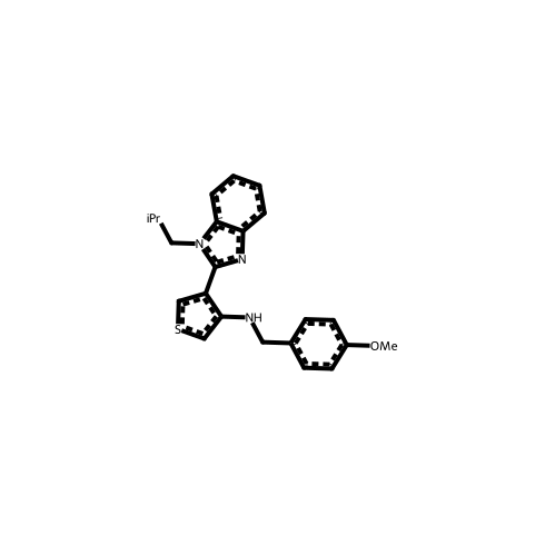 COc1ccc(CNc2cscc2-c2nc3ccccc3n2CC(C)C)cc1